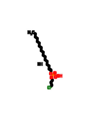 CCCCCCCCCCCCCCCCC=COP(=O)(OO)OCCCCl.[KH]